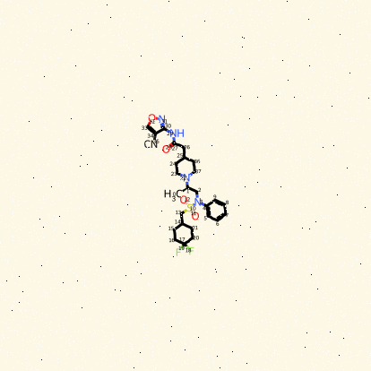 C[C@H](CN(c1ccccc1)S(=O)(=O)CC1CCC(F)(F)CC1)N1CCC(CC(=O)Nc2nocc2C#N)CC1